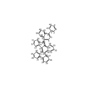 c1ccc(-c2ccc(-n3c4ccccc4c4c5c6ccccc6c6ccccc6c5c5ccccc5c43)c3ccccc23)cc1